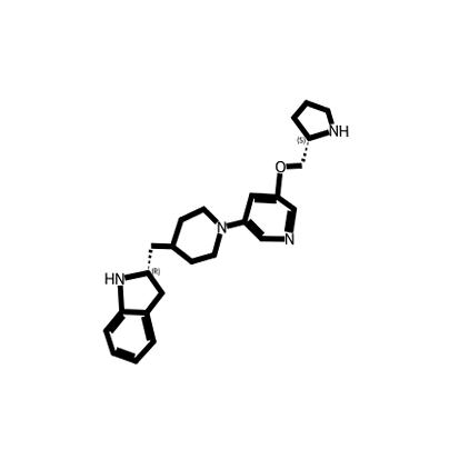 c1ccc2c(c1)C[C@@H](CC1CCN(c3cncc(OC[C@@H]4CCCN4)c3)CC1)N2